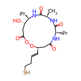 CC(C)[C@H]1NC(=O)[C@@H](C)NC(=O)[C@@H](C(C)C)NC(=O)C[C@@H](/C=C/CCS)OOC(=O)C[C@@H]1O